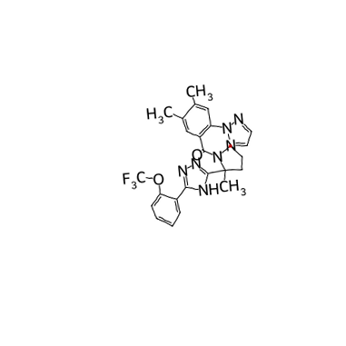 Cc1cc(C(=O)N2CCCC2(C)c2nnc(-c3ccccc3OC(F)(F)F)[nH]2)c(-n2nccn2)cc1C